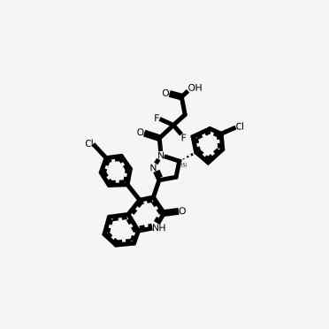 O=C(O)CC(F)(F)C(=O)N1N=C(c2c(-c3ccc(Cl)cc3)c3ccccc3[nH]c2=O)C[C@H]1c1ccc(Cl)cc1